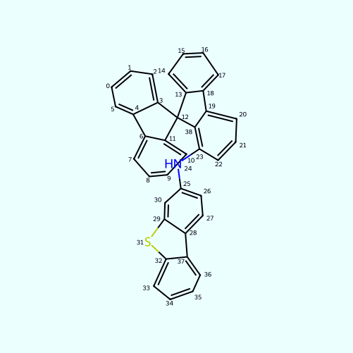 c1ccc2c(c1)-c1ccccc1C21c2ccccc2-c2cccc(Nc3ccc4c(c3)sc3ccccc34)c21